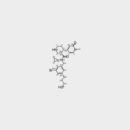 Cn1ccc([C@H]2CCNC[C@@H]2C(=O)N(Cc2cc(Br)cc(SCCO)c2)C2CC2)cc1=O